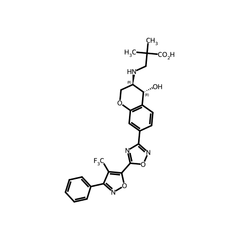 CC(C)(CN[C@@H]1COc2cc(-c3noc(-c4onc(-c5ccccc5)c4C(F)(F)F)n3)ccc2[C@H]1O)C(=O)O